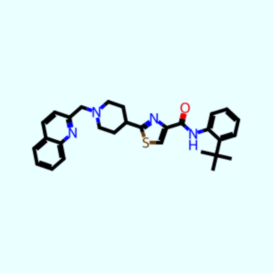 CC(C)(C)c1ccccc1NC(=O)c1csc(C2CCN(Cc3ccc4ccccc4n3)CC2)n1